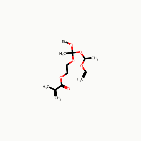 C=COC(C)OC(C)(OCC)OCCOC(=O)C(=C)C